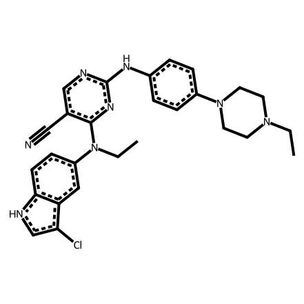 CCN1CCN(c2ccc(Nc3ncc(C#N)c(N(CC)c4ccc5[nH]cc(Cl)c5c4)n3)cc2)CC1